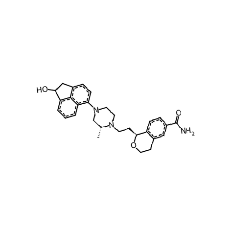 C[C@@H]1CN(c2ccc3c4c(cccc24)C(O)C3)CCN1CC[C@@H]1OCCc2cc(C(N)=O)ccc21